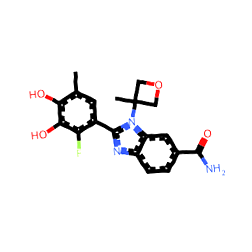 Cc1cc(-c2nc3ccc(C(N)=O)cc3n2C2(C)COC2)c(F)c(O)c1O